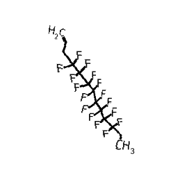 C=CCC(F)(F)C(F)(F)C(F)(F)C(F)(F)C(F)(F)C(F)(F)C(F)(F)C(F)(F)CC